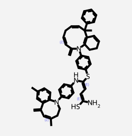 C=C1/C=C(/C)CCN(c2ccc(N/C(=C\C=C(/N)S)Sc3ccc(N4C(=C)/C=C\CC=CC(C)(c5ccccc5)C5=C4CCC=C5)cc3)cc2)c2ccc(C)cc21